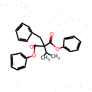 CC(C)C(Cc1ccccc1)(C(=O)Oc1ccccc1)C(=O)Oc1ccccc1